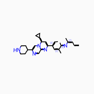 C=C\C=C(C)/N=C(C)/C(C)=C\C(=C/C)C1=CC(=C2CC2)N2C=C(C3CCNCC3)N=CC2=N1